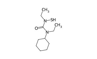 CCN(S)C(=O)N(CC)C1CCCCC1